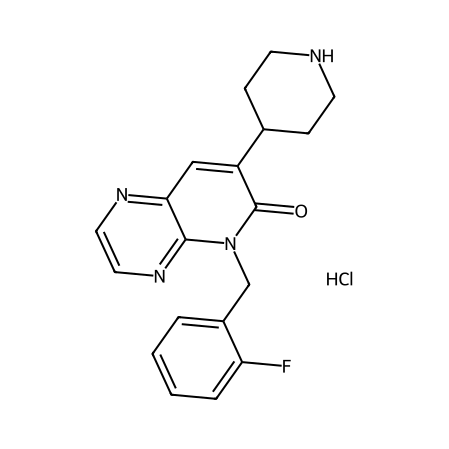 Cl.O=c1c(C2CCNCC2)cc2nccnc2n1Cc1ccccc1F